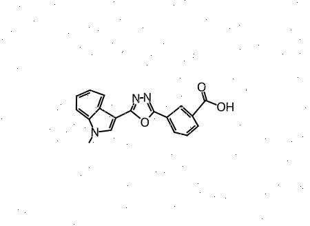 Cn1cc(-c2nnc(-c3cccc(C(=O)O)c3)o2)c2ccccc21